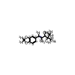 [2H]/C(=C(/[2H])C(O)C(C)(C([2H])([2H])[2H])C([2H])([2H])[2H])c1ccc2c(c1)OC([2H])([2H])O2